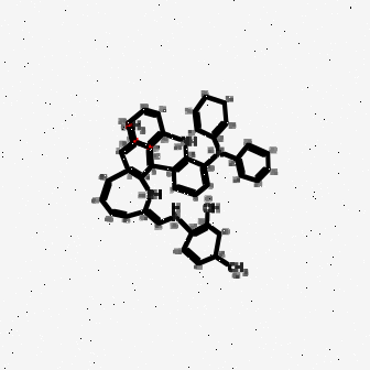 Cc1cc2c(c(-c3cccc(N(C4=CCCC=C4)c4ccccc4)c3Nc3ccccc3)c1)BC(=C\NC1=C(O)CC(C)C=C1)/C=C\C=C/2